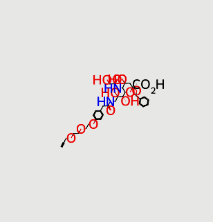 C#CCOCCOCCOc1ccc(CC(=O)NC[C@@H](O)[C@@H](O)[C@@H]2O[C@@](OCc3ccccc3)(C(=O)O)C[C@H](O)[C@H]2NC(=O)CO)cc1